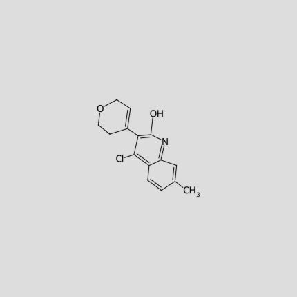 Cc1ccc2c(Cl)c(C3=CCOCC3)c(O)nc2c1